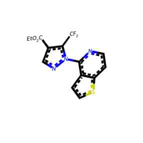 CCOC(=O)c1cnn(-c2nccc3sccc23)c1C(F)(F)F